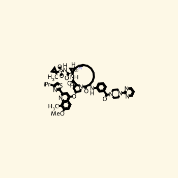 COc1ccc2c(O[C@@H]3C[C@H]4C(=O)N[C@]5(C(=O)NS(=O)(=O)C6(C)CC6)C[C@H]5/C=C\CCCCC[C@H](Nc5cccc(C(=O)N6CCN(c7ncccn7)CC6)c5)C(=O)N4C3)cc(-c3nc(C(C)C)cs3)nc2c1C